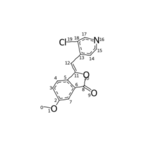 COc1ccc2c(c1)C(=O)O/C2=C\c1ccncc1Cl